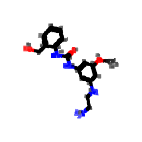 NCCNc1cc(NC(=O)Nc2ccccc2CO)cc(OC(F)(F)F)c1